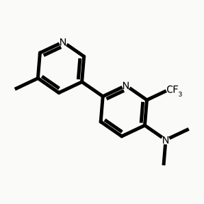 Cc1cncc(-c2ccc(N(C)C)c(C(F)(F)F)n2)c1